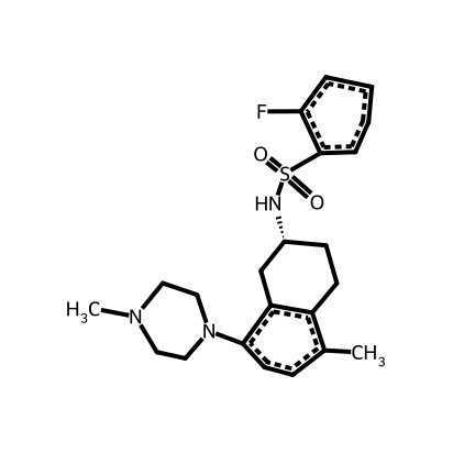 Cc1ccc(N2CCN(C)CC2)c2c1CC[C@@H](NS(=O)(=O)c1ccccc1F)C2